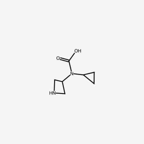 O=C(O)N(C1CC1)C1CNC1